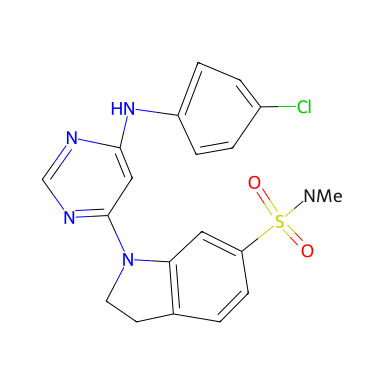 CNS(=O)(=O)c1ccc2c(c1)N(c1cc(Nc3ccc(Cl)cc3)ncn1)CC2